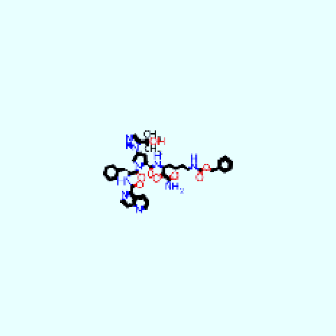 CC(C)(O)c1cnnn1[C@H]1C[C@@H](C(=O)NC(CCCCNC(=O)OCc2ccccc2)C(=O)C(N)=O)N(C(=O)[C@@H](CC2CCCCC2)NC(=O)c2nccc3ncccc23)C1